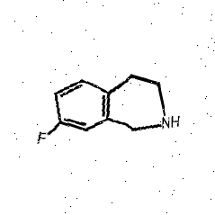 Fc1ccc2c(c1)CNCC2